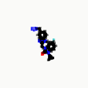 CCCn1c(Cn2c(=O)n(C3CC3)c3ccc(F)cc32)nc2cc(CN)ccc21